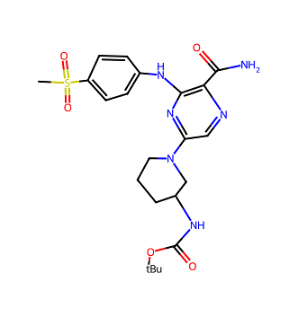 CC(C)(C)OC(=O)NC1CCCN(c2cnc(C(N)=O)c(Nc3ccc(S(C)(=O)=O)cc3)n2)C1